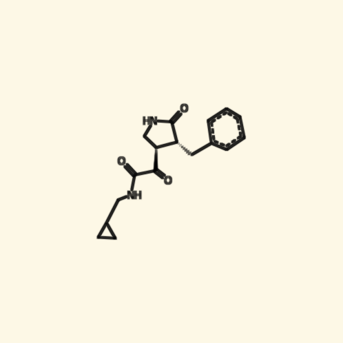 O=C(NCC1CC1)C(=O)[C@H]1CNC(=O)[C@@H]1Cc1ccccc1